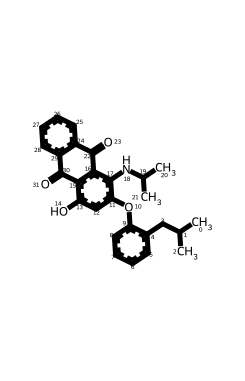 CC(C)Cc1ccccc1Oc1cc(O)c2c(c1NC(C)C)C(=O)c1ccccc1C2=O